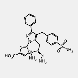 N/N=C(/Cc1c(Cc2ccc(S(N)(=O)=O)cc2)c(-c2ccccc2)nn1-c1nc(C(=O)O)cs1)NN